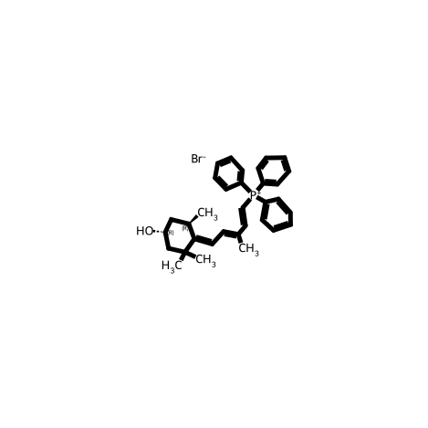 CC(C=C[P+](c1ccccc1)(c1ccccc1)c1ccccc1)=CC=C1[C@H](C)C[C@@H](O)CC1(C)C.[Br-]